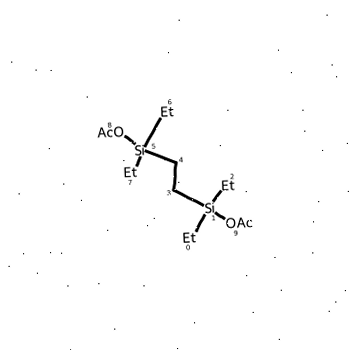 CC[Si](CC)(CC[Si](CC)(CC)OC(C)=O)OC(C)=O